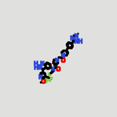 CCN(C(=O)[C@@H]1CCN(CC(=O)N2CC=C(c3ccc(C(=N)/N=C\NC)cc3)CC2)C1)c1ccc(N)c(C(=N)c2cnc(OC)c(C(F)(F)F)c2)c1